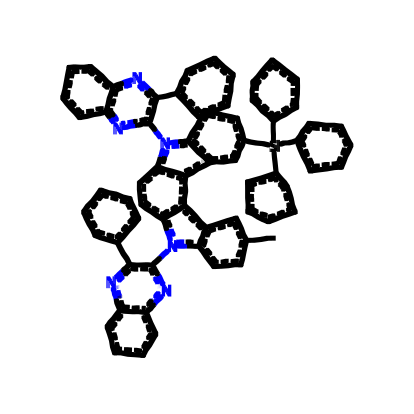 Cc1ccc2c(c1)c1c3c4cc([Si](c5ccccc5)(c5ccccc5)c5ccccc5)ccc4n(-c4nc5ccccc5nc4-c4ccccc4)c3ccc1n2-c1nc2ccccc2nc1-c1ccccc1